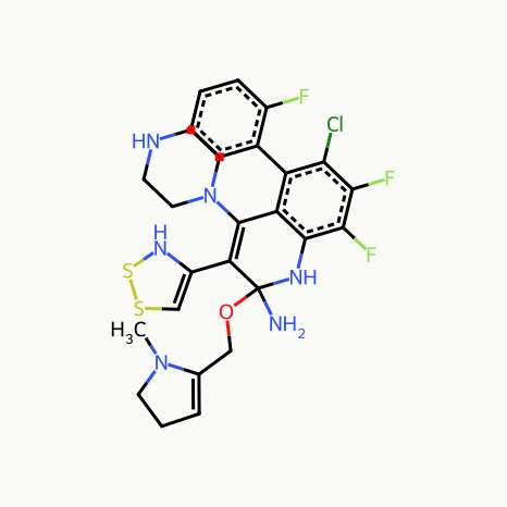 CN1CCC=C1COC1(N)Nc2c(F)c(F)c(Cl)c(-c3ccccc3F)c2C(N2CCNCC2)=C1C1=CSSN1